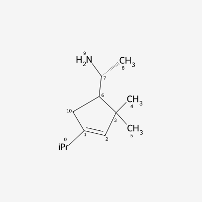 CC(C)C1=CC(C)(C)C([C@@H](C)N)C1